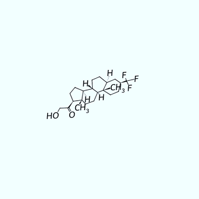 C[C@]12CC[C@H](C(F)(F)F)C[C@@H]1CC[C@@H]1[C@@H]2CC[C@]2(C)[C@@H](C(=O)CO)CC[C@@H]12